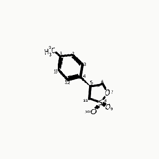 Cc1ccc([C@H]2COS(=O)(=O)C2)cc1